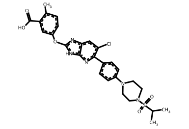 Cc1ccc(Oc2nc3cc(Cl)c(-c4ccc(N5CCN(S(=O)(=O)C(C)C)CC5)cc4)nc3[nH]2)cc1C(=O)O